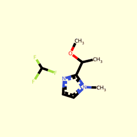 COC(C)c1nccn1C.FC(F)F